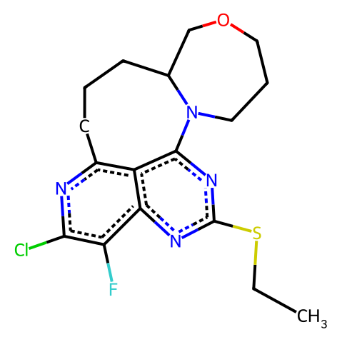 CCSc1nc2c3c(nc(Cl)c(F)c3n1)CCCC1COCCCN21